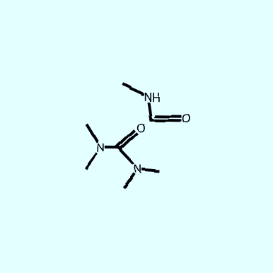 CN(C)C(=O)N(C)C.CNC=O